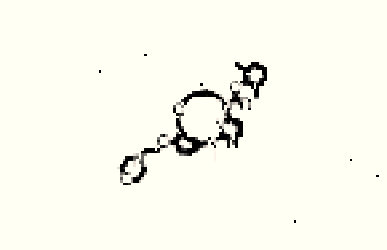 Cc1cccc(C)c1OC(=O)N1C/C=C\COCc2cc(ccc2OCCN2CCOCC2)Nc2nccc1n2